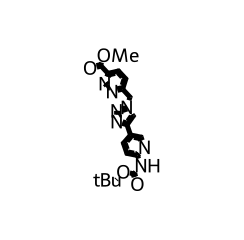 COC(=O)c1ccc(Cn2cc(-c3ccc(NC(=O)OC(C)(C)C)nc3)nn2)nn1